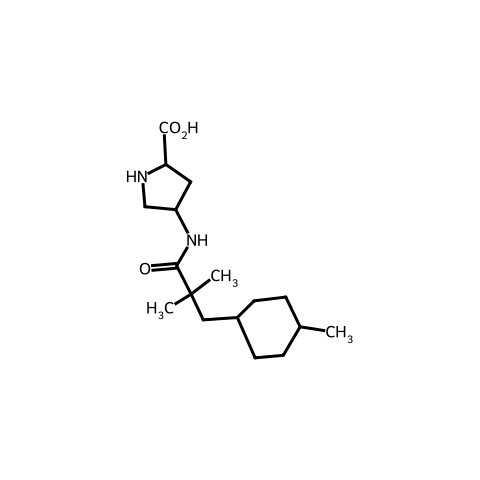 CC1CCC(CC(C)(C)C(=O)NC2CNC(C(=O)O)C2)CC1